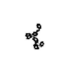 C(=C\c1ccc(N(c2ccc3c(c2)c2ccccc2n3-c2ccccc2)c2cccc3ccccc23)cc1)/c1ccccc1